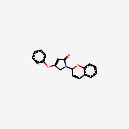 O=C1C=C(Oc2ccccc2)CN1C1C=Cc2ccccc2O1